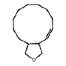 C1=CC2COCC2CCCCCCCC1